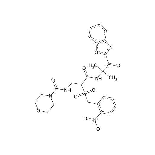 CC(C)(NC(=O)C(CNC(=O)N1CCOCC1)S(=O)(=O)Cc1ccccc1[N+](=O)[O-])C(=O)c1nc2ccccc2o1